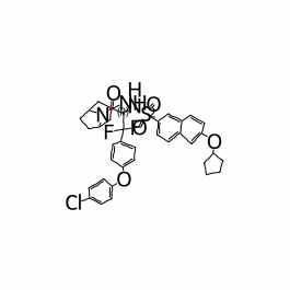 NC1CC2CCC(C1)N2C(=O)[C@@H](NS(=O)(=O)c1ccc2cc(OC3CCCC3)ccc2c1)C(F)(F)c1ccc(Oc2ccc(Cl)cc2)cc1